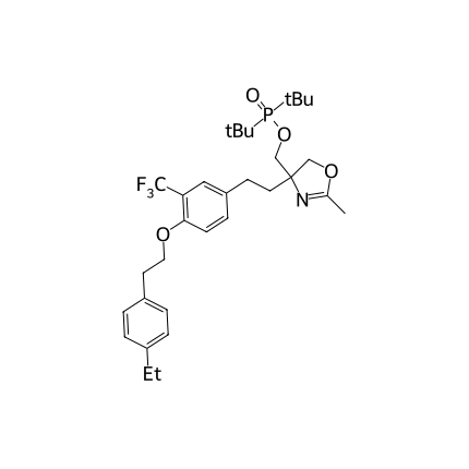 CCc1ccc(CCOc2ccc(CCC3(COP(=O)(C(C)(C)C)C(C)(C)C)COC(C)=N3)cc2C(F)(F)F)cc1